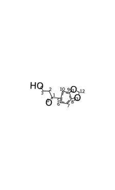 O=C(CCO)c1ccc2c(c1)OCO2